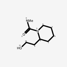 CNC(=O)N1CCCCC1CCO